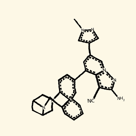 Cn1cc(-c2cc(-c3ccc(N4CC5CC(C4)N5Cc4ccccn4)nc3)c3c(C#N)c(N)nn3c2)cn1